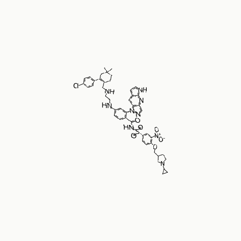 CC1(C)CCC(CNCCNc2ccc(C(=O)NS(=O)(=O)c3ccc(OCC4CCN(C5CC5)C4)c([N+](=O)[O-])c3)c(-n3ncc4nc5[nH]ccc5cc43)c2)=C(c2ccc(Cl)cc2)C1